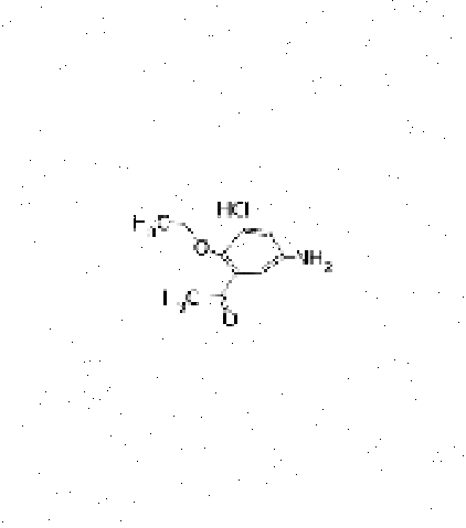 CCOc1ccc(N)cc1C(C)=O.Cl